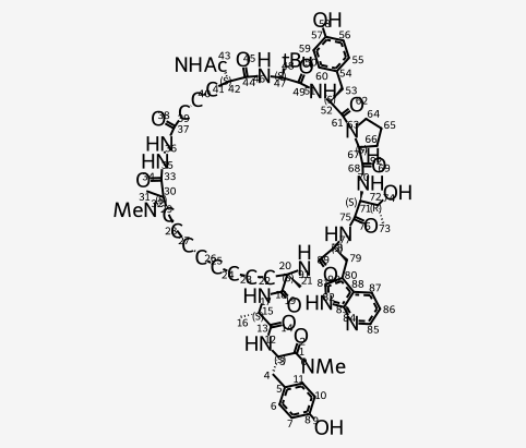 CNC(=O)[C@H](Cc1ccc(O)cc1)NC(=O)[C@H](C)NC(=O)[C@]1(C)CCCCCCCC[C@](C)(NC)C(=O)NNC(=O)CCC[C@H](NC(C)=O)C(=O)N[C@@H](C(C)(C)C)C(=O)N[C@@H](Cc2ccc(O)cc2)C(=O)N2CCC[C@H]2C(=O)N[C@@H]([C@@H](C)O)C(=O)N[C@@H](Cc2c[nH]c3ncccc23)C(=O)N1